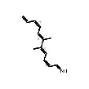 C=C\C=C/C=C(C)/C(C)=C/C=C\C=N